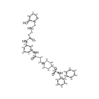 O=C(CCNCc1ccccc1O)Nc1cccc(NC(=O)CCN2CCC(OC(=O)Nc3ccccc3-c3ccccc3)CC2)c1